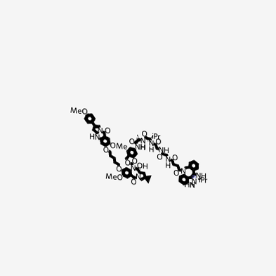 COc1ccc(C2=CN3C(=O)c4cc(OC)c(OCCCCCOc5cc6c(cc5OC)C(=O)N5CC7(CC7)CC5[C@H](O)N6C(=O)OCc5ccc(NC(=O)[C@H](C)NC(=O)[C@@H](NC(=O)CNC(=O)CNC(=O)CCC(=O)N6Cc7ccccc7/C(NC(C)C)=C(/N=N)c7ccccc76)C(C)C)cc5)cc4NC3C2)cc1